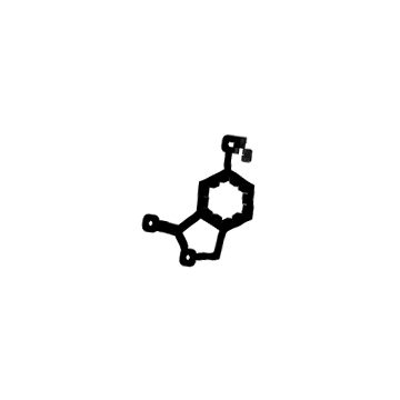 O=C1OCc2ccc(C(F)(F)F)cc21